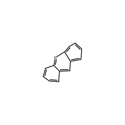 [c]1cccc2nc3ccccc3[c]c12